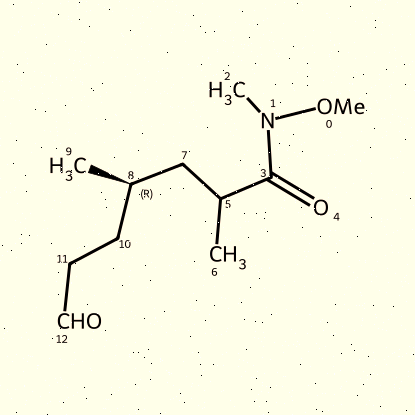 CON(C)C(=O)C(C)C[C@H](C)CCC=O